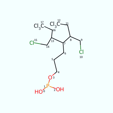 OP(O)OCCCC(C(CCl)CC(Cl)(Cl)Cl)C(CCl)CC(Cl)(Cl)Cl